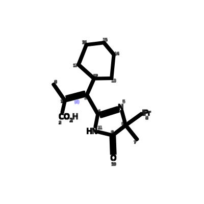 C/C(C(=O)O)=C(/C1=NC(C)(C(C)C)C(=O)N1)C1CCCCC1